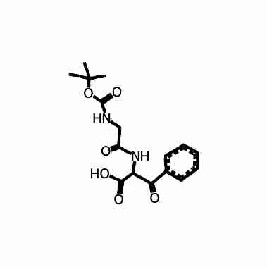 CC(C)(C)OC(=O)NCC(=O)NC(C(=O)O)C(=O)c1ccccc1